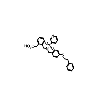 O=C(O)Cc1ccccc1CN(Cc1ccc(SCCc2ccccc2)cc1)S(=O)(=O)c1cccnc1